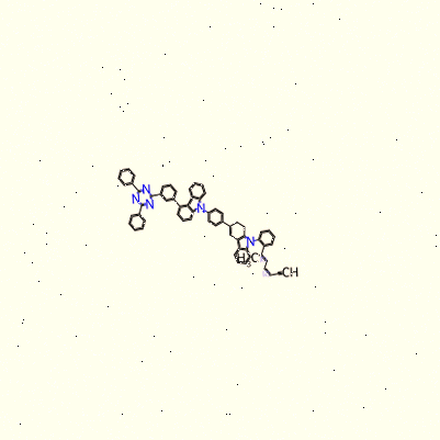 C#C/C=C\C=C(/C)c1ccccc1-n1c2c(c3ccccc31)C=C(c1ccc(-n3c4ccccc4c4c(-c5cccc(-c6nc(-c7ccccc7)nc(-c7ccccc7)n6)c5)cccc43)cc1)CC2